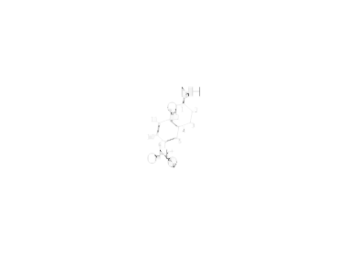 N=C1CCc2cc([N+](=O)[O-])ccc2O1